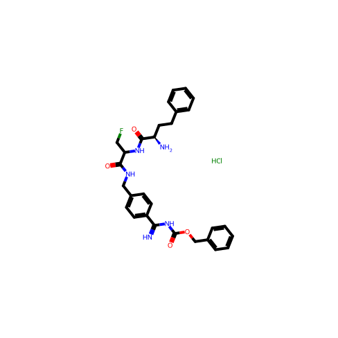 Cl.N=C(NC(=O)OCc1ccccc1)c1ccc(CNC(=O)C(CF)NC(=O)[C@H](N)CCc2ccccc2)cc1